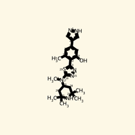 Cc1cc(-c2cn[nH]c2)cc(O)c1-c1nnc(N(C)C2CC(C)(C)NC(C)(C)C2)s1